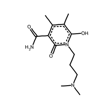 Cc1c(C)c(O)n(CCCN(C)C)c(=O)c1C(N)=O